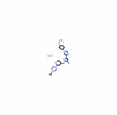 Cc1cc(-c2cn(-c3ccc(OC(F)(F)F)cc3)cn2)nn1Cc1ccnc(N2CCN(C3CC3)CC2)c1.Cl